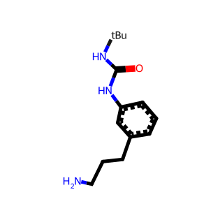 CC(C)(C)NC(=O)Nc1cccc(CCCN)c1